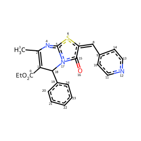 CCOC(=O)C1=C(C)N=c2s/c(=C/c3ccncc3)c(=O)n2C1c1ccccc1